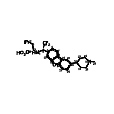 CC(C)C[C@H](N[C@@H](c1ccc2c(c1)oc1ccc(C3CCN(C)CC3)cc12)C(F)(F)F)C(=O)O